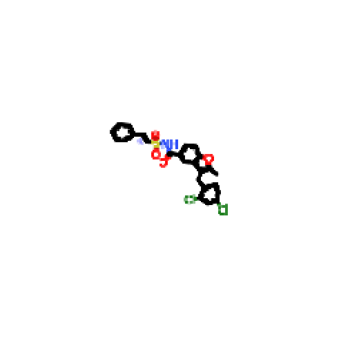 Cc1oc2ccc(C(=O)NS(=O)(=O)/C=C/c3ccccc3)cc2c1Cc1ccc(Cl)cc1Cl